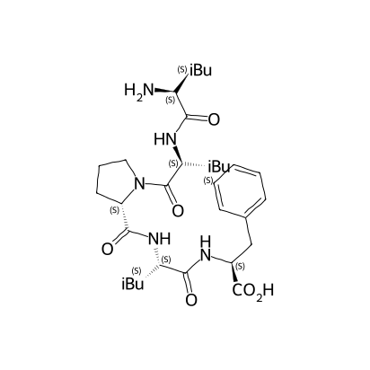 CC[C@H](C)[C@H](N)C(=O)N[C@H](C(=O)N1CCC[C@H]1C(=O)N[C@H](C(=O)N[C@@H](Cc1ccccc1)C(=O)O)[C@@H](C)CC)[C@@H](C)CC